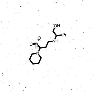 CC(C)C(CO)NCCC(N1CC[CH]CC1)[SH](=O)=O